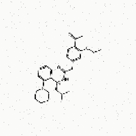 CCOc1cc(CC(=O)N[C@@H](CC(C)C)c2ccccc2N2CCCCC2)ccc1C(C)=O